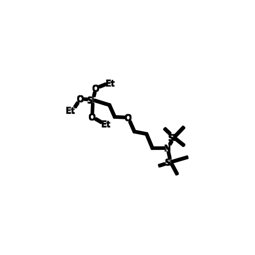 CCO[Si](CCOCCCN([Si](C)(C)C)[Si](C)(C)C)(OCC)OCC